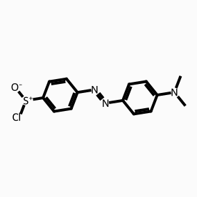 CN(C)c1ccc(/N=N/c2ccc([S+]([O-])Cl)cc2)cc1